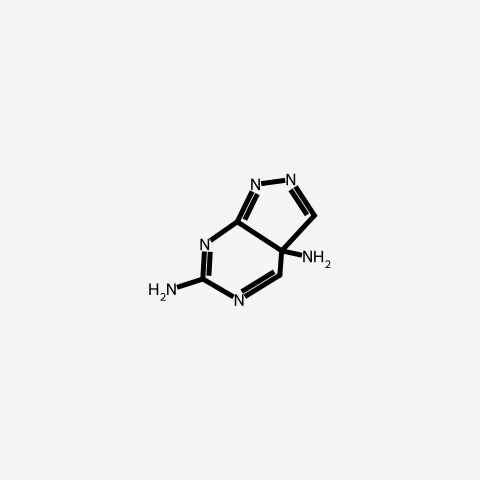 NC1=NC2=NN=CC2(N)C=N1